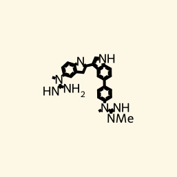 CNC(=N)N(C)c1ccc(-c2ccc3[nH]cc(C4=Nc5ccc(N(C)C(=N)N)cc5C4)c3c2)cc1